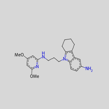 COc1cc(NCCCn2c3c(c4cc(N)ccc42)CCCC3)nc(OC)c1